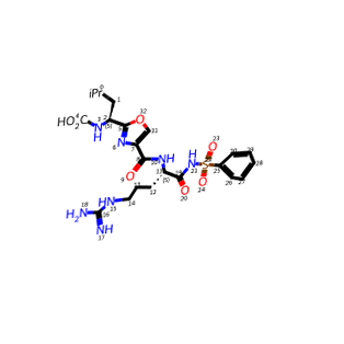 CC(C)C[C@H](NC(=O)O)c1nc(C(=O)N[C@@H](CCCNC(=N)N)C(=O)NS(=O)(=O)c2ccccc2)co1